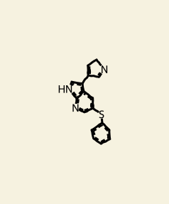 C1=NCC=C1c1c[nH]c2ncc(Sc3ccccc3)cc12